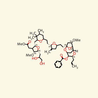 C=CC[C@@H]1O[C@@H]2CC(O[C@@]3(CCC4CC(=C)[C@H](CCC5CC(C)C(C)(C)C(C[C@@H]6O[C@H](CC(O)CO)[C@H](OC)C6CC(=O)OC)O5)O4)C[C@@H](OC)C2O3)C1OC(=O)c1ccccc1